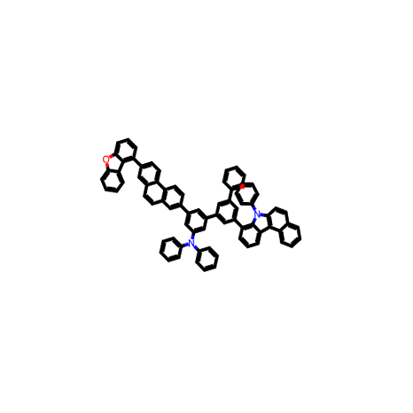 c1ccc(-c2cc(-c3cc(-c4ccc5c(ccc6cc(-c7cccc8oc9ccccc9c78)ccc65)c4)cc(N(c4ccccc4)c4ccccc4)c3)cc(-c3cccc4c5c6ccccc6ccc5n(-c5ccccc5)c34)c2)cc1